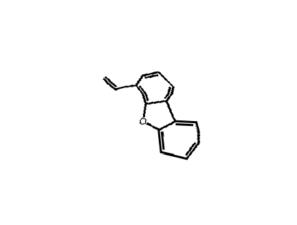 C=Cc1cccc2c1oc1ccccc12